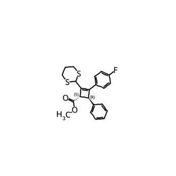 COC(=O)[C@@H]1C(C2SCCCS2)=C(c2ccc(F)cc2)[C@H]1c1ccccc1